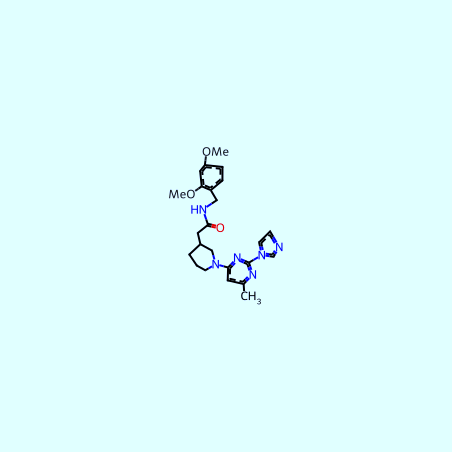 COc1ccc(CNC(=O)CC2CCCN(c3cc(C)nc(-n4ccnc4)n3)C2)c(OC)c1